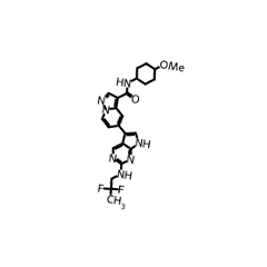 COC1CCC(NC(=O)c2cnn3ccc(-c4c[nH]c5nc(NCC(C)(F)F)ncc45)cc23)CC1